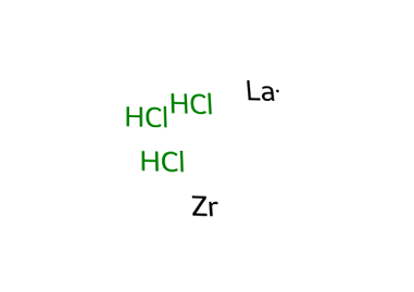 Cl.Cl.Cl.[La].[Zr]